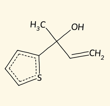 C=CC(C)(O)c1cccs1